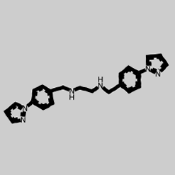 c1cnn(-c2ccc(CNCCNCc3ccc(-n4cccn4)cc3)cc2)c1